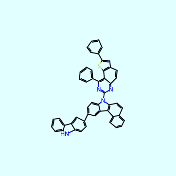 c1ccc(-c2cc3ccc4nc(-n5c6ccc(-c7ccc8[nH]c9ccccc9c8c7)cc6c6c7ccccc7ccc65)nc(-c5ccccc5)c4c3s2)cc1